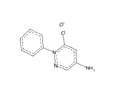 Nc1cn[n+](-c2ccccc2)c(Cl)c1.[Cl-]